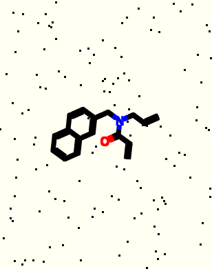 C=CCN(Cc1ccc2ccccc2c1)C(=O)C=C